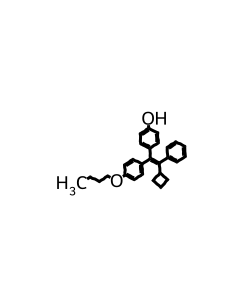 CCCCOc1ccc(/C(=C(/c2ccccc2)C2CCC2)c2ccc(O)cc2)cc1